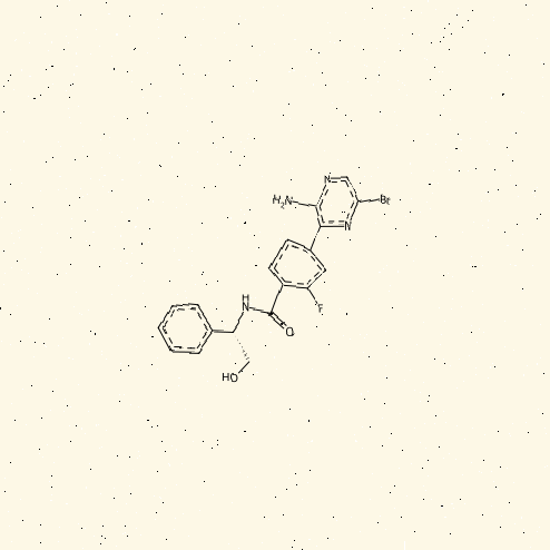 Nc1ncc(Br)nc1-c1ccc(C(=O)N[C@H](CO)c2ccccc2)c(F)c1